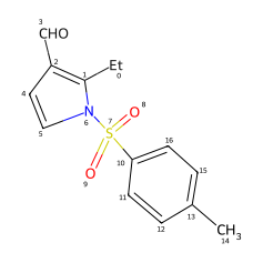 CCc1c(C=O)ccn1S(=O)(=O)c1ccc(C)cc1